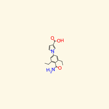 CCc1cc(-n2ccc(C(=O)O)c2)cc(CC)c1C(N)=O